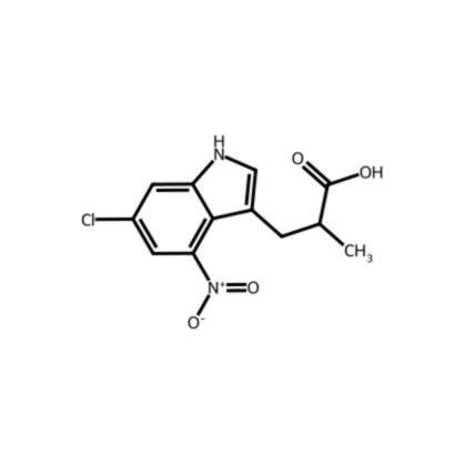 CC(Cc1c[nH]c2cc(Cl)cc([N+](=O)[O-])c12)C(=O)O